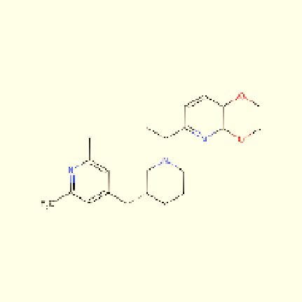 Cc1cc(C[C@H]2CCCN(C(C)c3ccc4c(n3)OCCO4)C2)cc(C(F)(F)F)n1